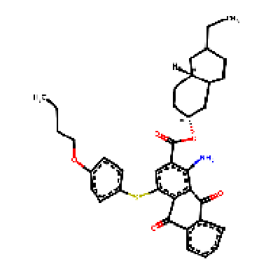 CCCCOc1ccc(Sc2cc(C(=O)O[C@@H]3CC[C@@H]4CC(CC)CCC4C3)c(N)c3c2C(=O)c2ccccc2C3=O)cc1